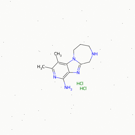 Cc1nc(N)c2nc3n(c2c1C)CCCNC3.Cl.Cl